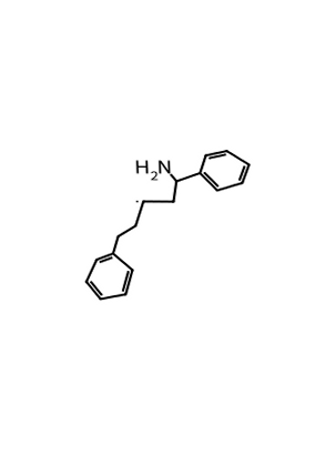 NC(C[CH]CCc1ccccc1)c1ccccc1